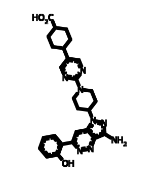 Nc1nn(C2CCN(c3ncc(C4CCC(C(=O)O)CC4)cn3)CC2)c2cc(-c3ccccc3O)nnc12